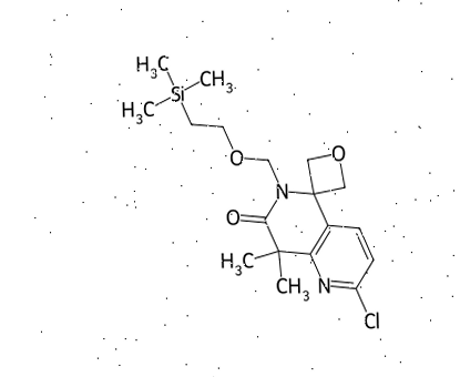 CC1(C)C(=O)N(COCC[Si](C)(C)C)C2(COC2)c2ccc(Cl)nc21